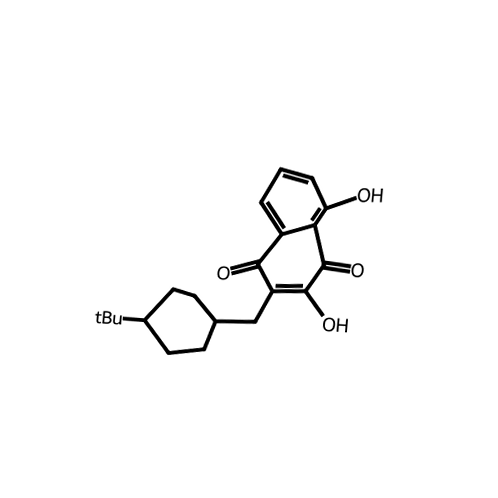 CC(C)(C)C1CCC(CC2=C(O)C(=O)c3c(O)cccc3C2=O)CC1